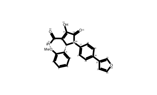 COc1ccccc1[C@@H]1C(C(=O)C(C)C)=C(O)C(=O)N1c1ccc(-c2ccoc2)cc1